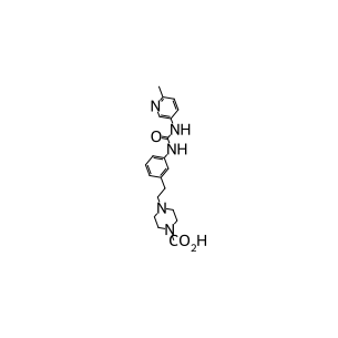 Cc1ccc(NC(=O)Nc2cccc(CCN3CCN(C(=O)O)CC3)c2)cn1